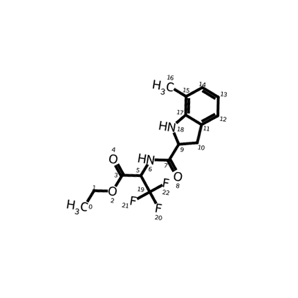 CCOC(=O)C(NC(=O)C1Cc2cccc(C)c2N1)C(F)(F)F